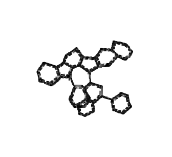 c1ccc(-c2cc(-n3c4cc5ccccc5cc4c4ccc5c6ccccc6n(-c6ccccc6)c5c43)cc3ccccc23)cc1